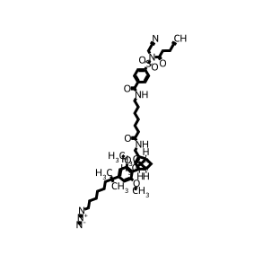 C#CCCC(=O)N(CC#N)S(=O)(=O)c1ccc(C(=O)NCCCCCCC(=O)NCC2=C[C@H](c3c(OC)cc(C(C)(C)CCCCCCN=[N+]=[N-])cc3OC)[C@@H]3C[C@H]2C3(C)C)cc1